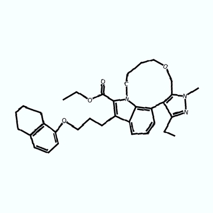 CCOC(=O)c1c(CCCOc2cccc3c2CCCC3)c2cccc3c2n1CCCCOCc1c-3c(CC)nn1C